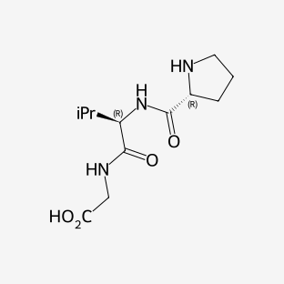 CC(C)[C@@H](NC(=O)[C@H]1CCCN1)C(=O)NCC(=O)O